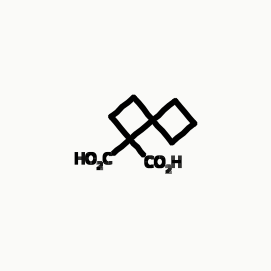 O=C(O)C1(C(=O)O)CCC12CCC2